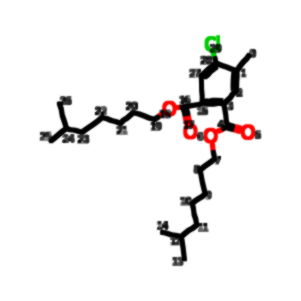 Cc1cc(C(=O)OCCCCCC(C)C)c(C(=O)OCCCCCC(C)C)cc1Cl